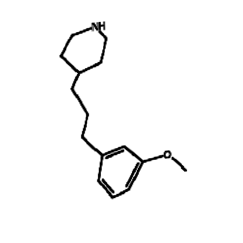 COc1cccc(CCCC2CCNCC2)c1